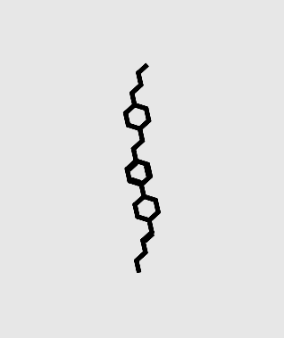 CCC/C=C/C1CCC(c2ccc(CCC3CCC(CCCC)CC3)cc2)CC1